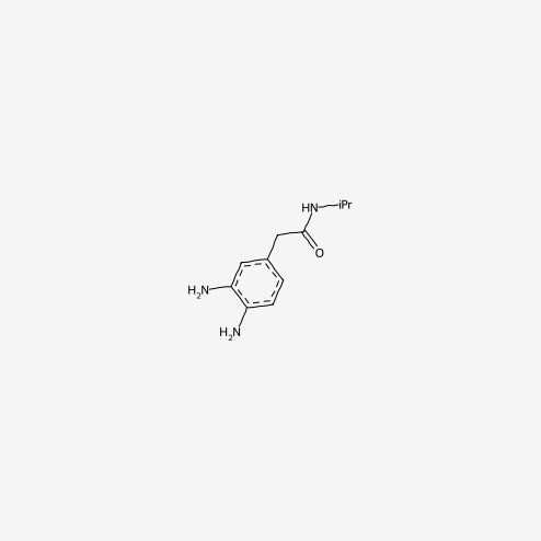 CC(C)NC(=O)Cc1ccc(N)c(N)c1